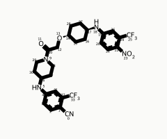 N#Cc1ccc(NC2CCN(C(=O)CO[C@H]3CC[C@H](Nc4ccc([N+](=O)[O-])c(C(F)(F)F)c4)CC3)CC2)cc1C(F)(F)F